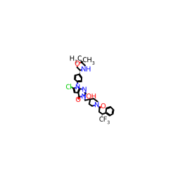 CC1(C)CN[C@H](c2ccc(-n3c(Cl)cc4c(=O)n(CC5(O)CCN(C(=O)C[C@H](c6ccccc6)C(F)(F)F)CC5)cnc43)cc2)CO1